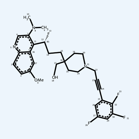 COc1ccc2ncc(N(C)C)c([C@H](F)CCC3(CO)CCN(CC#Cc4cc(F)cc(F)c4F)CC3)c2c1